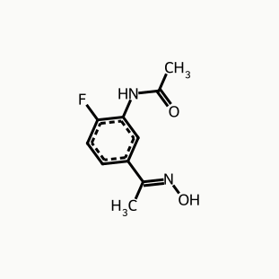 CC(=O)Nc1cc(C(C)=NO)ccc1F